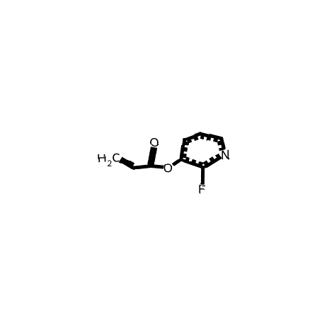 C=CC(=O)Oc1cccnc1F